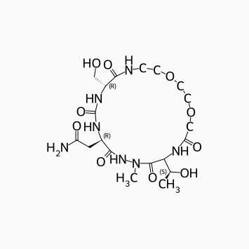 C[C@H](O)C1NC(=O)COCCOCCNC(=O)[C@@H](CO)NC(=O)N[C@H](CC(N)=O)C(=O)NN(C)C1=O